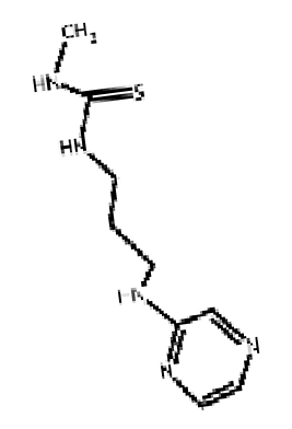 CNC(=S)NCCCNc1cnccn1